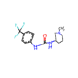 CN1CCC[C@@H](NC(=O)Nc2ccc(C(F)(F)F)cc2)C1